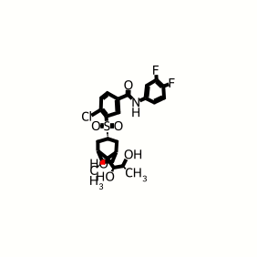 C[C@H]1CC2C[C@@H](S(=O)(=O)c3cc(C(=O)Nc4ccc(F)c(F)c4)ccc3Cl)CC1[C@@]2(O)[C@H](O)[C@@H](C)O